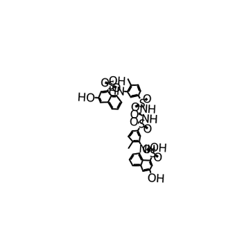 Cc1ccc(S(=O)(=O)NC(=O)NS(=O)(=O)c2ccc(C)c(Nc3cccc4cc(O)cc(S(=O)(=O)O)c34)c2)cc1Nc1cccc2cc(O)cc(S(=O)(=O)O)c12